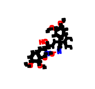 CCC(CC)C(C#N)(CCC(O)C(Cc1ccc(OC)c(OC)c1)[N+](=O)[O-])c1ccc(OC)c(OC)c1